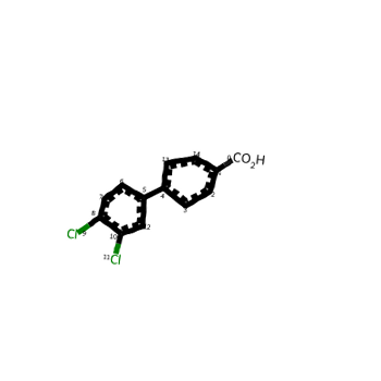 O=C(O)c1ccc(-c2ccc(Cl)c(Cl)c2)cc1